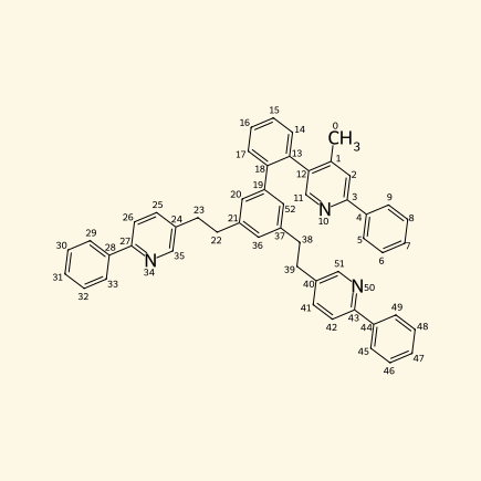 Cc1cc(-c2ccccc2)ncc1-c1ccccc1-c1cc(CCc2ccc(-c3ccccc3)nc2)cc(CCc2ccc(-c3ccccc3)nc2)c1